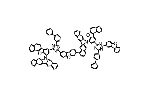 c1ccc(-c2ccc(-c3nc(-c4ccc5oc6ccccc6c5c4)nc(-c4cc(-n5c6cc7ccccc7cc6c6cc7c(-c8ccc9c(c8)oc8ccc(-c%10nc(-c%11cccc(-c%12ccccc%12)c%11)nc(-c%11cc(-n%12c%13cc%14ccccc%14cc%13c%13cc%14ccccc%14cc%13%12)c%12oc%13c%14ccccc%14ccc%13c%12c%11)n%10)cc89)cccc7cc65)c5oc6ccc7ccccc7c6c5c4)n3)cc2)cc1